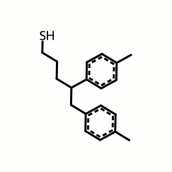 Cc1ccc(CC(CCCS)c2ccc(C)cc2)cc1